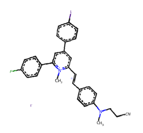 CN(CCC#N)c1ccc(/C=C/c2cc(-c3ccc(I)cc3)cc(-c3ccc(F)cc3)[n+]2C)cc1.[I-]